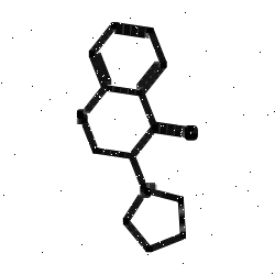 O=C1c2ccccc2SCC1[S+]1CCCC1